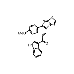 COc1ccc(-c2nc3sccn3c2/C=C/C(=O)c2c[nH]c3ccccc23)cc1